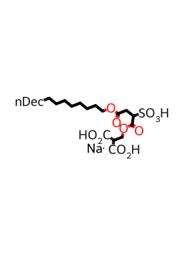 CCCCCCCCCCCCCCCCCCOC(=O)CC(C(=O)OCC(C(=O)O)C(=O)O)S(=O)(=O)O.[Na]